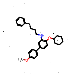 FC(F)(F)Oc1ccc(-c2ccc(OC3CCCCC3)c(NCCCCc3ccccc3)c2)cc1